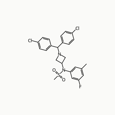 Cc1cc(F)cc(N(C2CN(C(c3ccc(Cl)cc3)c3ccc(Cl)cc3)C2)S(C)(=O)=O)c1